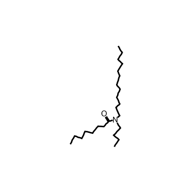 CCCCCCCCCCCCN(CCCC)C(=O)CCCCCCC